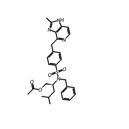 CC(=O)OC[C@H](CC(C)C)N(Cc1ccccc1)S(=O)(=O)c1ccc(Cc2nccc3[nH]c(C)nc23)cc1